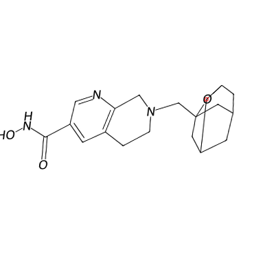 O=C(NO)c1cnc2c(c1)CCN(CC13CC4CC(CC(C4)O1)C3)C2